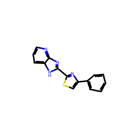 c1ccc(-c2csc(-c3nc4ncccc4[nH]3)n2)cc1